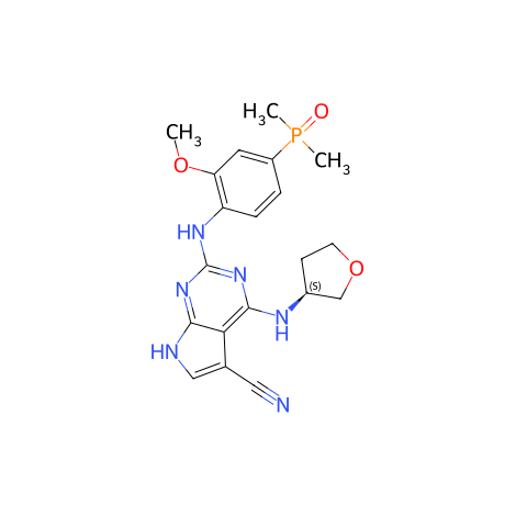 COc1cc(P(C)(C)=O)ccc1Nc1nc(N[C@H]2CCOC2)c2c(C#N)c[nH]c2n1